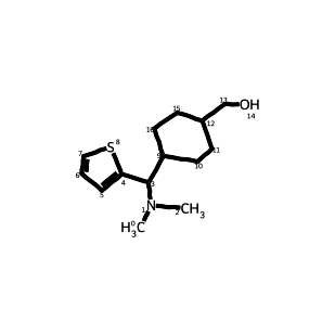 CN(C)C(c1cccs1)C1CCC(CO)CC1